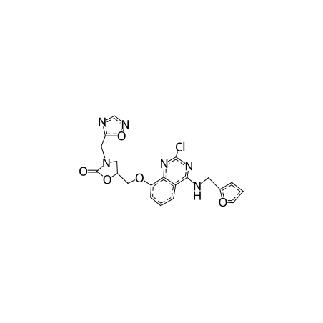 O=C1OC(COc2cccc3c(NCc4ccco4)nc(Cl)nc23)CN1Cc1ncno1